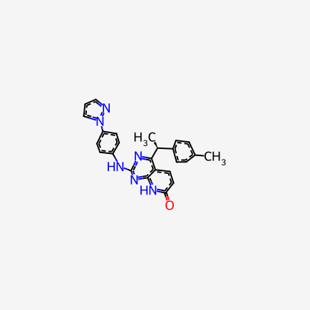 Cc1ccc([C@H](C)c2nc(Nc3ccc(-n4cccn4)cc3)nc3[nH]c(=O)ccc23)cc1